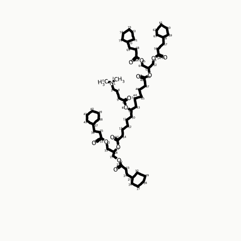 CN(C)CCCC(=O)OC(CCCCCC(=O)OC(COC(=O)CCC1CCCCC1)COC(=O)CCC1CCCCC1)CCCCCC(=O)OC(COC(=O)CCC1CCCCC1)COC(=O)CCC1CCCCC1